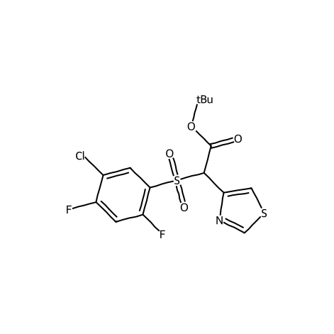 CC(C)(C)OC(=O)C(c1cscn1)S(=O)(=O)c1cc(Cl)c(F)cc1F